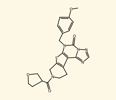 COc1ccc(Cn2c(=O)n3ncnc3c3c4c(sc32)CN(C(=O)C2CCOC2)CC4)cc1